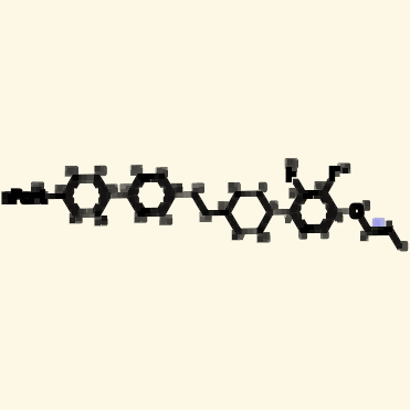 C/C=C/Oc1ccc(C2CCC(CCc3ccc(-c4ccc(CCCCC)cc4)cc3)CC2)c(F)c1F